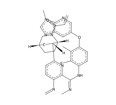 C=CC(=O)N1C[C@H]2CC[C@@H]1[C@H](c1ccc(N=C)c(/C(=N\C)Nc3ccc(Oc4cnc5c(c4)ncn5C)c(C)c3F)n1)C2